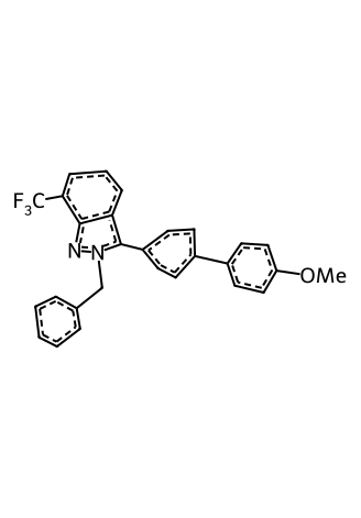 COc1ccc(-c2ccc(-c3c4cccc(C(F)(F)F)c4nn3Cc3ccccc3)cc2)cc1